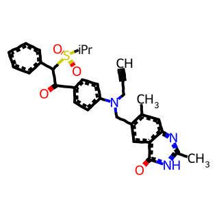 C#CCN(Cc1cc2c(=O)[nH]c(C)nc2cc1C)c1ccc(C(=O)C(c2ccccc2)S(=O)(=O)C(C)C)cc1